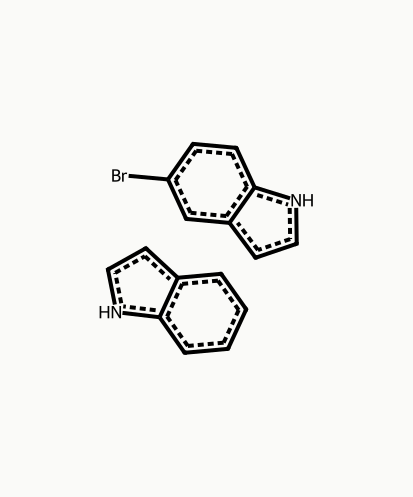 Brc1ccc2[nH]ccc2c1.c1ccc2[nH]ccc2c1